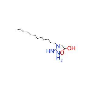 CCCCCCCCCCCCN(CC(=O)O)C(=N)N